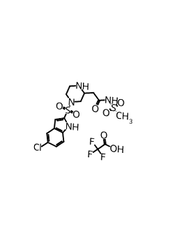 CS(=O)(=O)NC(=O)CC1CN(S(=O)(=O)c2cc3cc(Cl)ccc3[nH]2)CCN1.O=C(O)C(F)(F)F